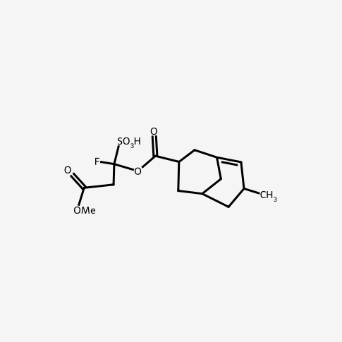 COC(=O)CC(F)(OC(=O)C1CC2=CC(C)CC(C2)C1)S(=O)(=O)O